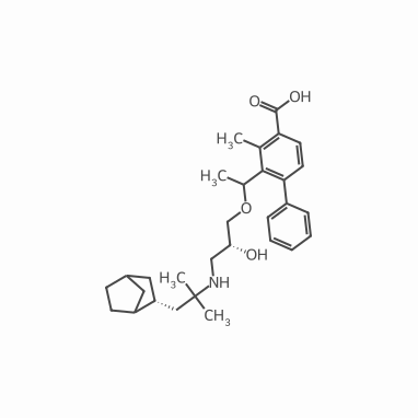 Cc1c(C(=O)O)ccc(-c2ccccc2)c1C(C)OC[C@H](O)CNC(C)(C)C[C@H]1CC2CCC1C2